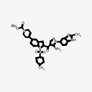 Cc1ccc(S(=O)(=O)n2c(C(=O)c3cnn(-c4ccc5[nH]c(C)nc5c4)c3N)cc3cc(C4=CCN(C(=O)OC(C)(C)C)CC4)ccc32)cc1